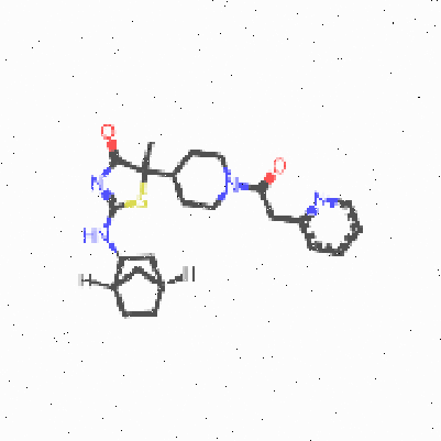 CC1(C2CCN(C(=O)Cc3ccccn3)CC2)SC(N[C@H]2C[C@@H]3CC[C@H]2C3)=NC1=O